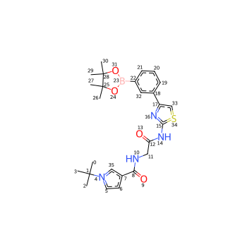 CC(C)(C)n1ccc(C(=O)NCC(=O)Nc2nc(-c3cccc(B4OC(C)(C)C(C)(C)O4)c3)cs2)c1